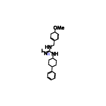 COC1C=CC(CN/C(=N\I)NC2CCC(c3ccccc3)CC2)=CC1